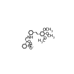 COc1cc(C=Cc2cccc(N/C=C\C(=O)c3ccccc3[N+](=O)[O-])c2)cc(OC)c1OC